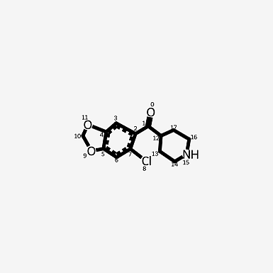 O=C(c1cc2c(cc1Cl)OCO2)C1CCNCC1